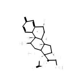 CCC(=O)O[C@]1(C(=O)CO)[C@H](C)C[C@H]2[C@@H]3C[C@H](F)C4=CC(=O)C=C[C@]4(C)[C@H]3C(O)C[C@@]21C